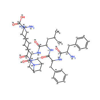 CC(C)CC(NC(=O)C(Cc1ccccc1)NC(=O)C(N)Cc1ccccc1)C(=O)NC(CCCCN)C(=O)N1C2CC1CN(C(=O)CCCCC(N)C(=O)O)C2